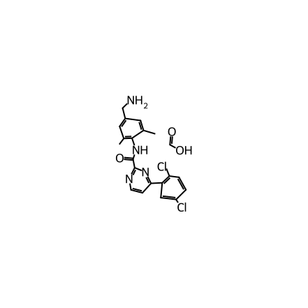 Cc1cc(CN)cc(C)c1NC(=O)c1nccc(-c2cc(Cl)ccc2Cl)n1.O=CO